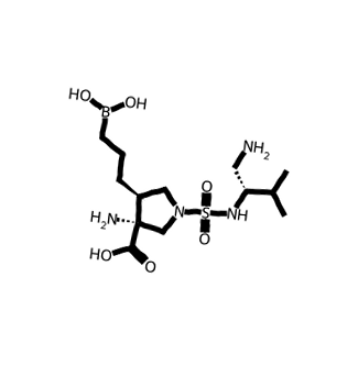 CC(C)[C@@H](CN)NS(=O)(=O)N1C[C@H](CCCB(O)O)[C@](N)(C(=O)O)C1